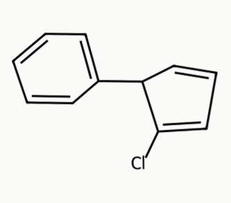 ClC1=CC=CC1c1ccccc1